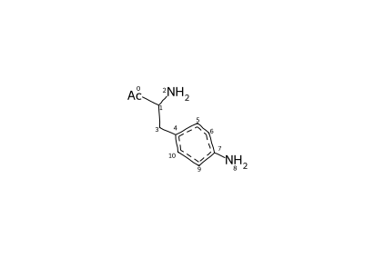 CC(=O)C(N)Cc1ccc(N)cc1